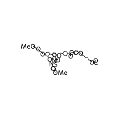 C=CC(=O)OCCCCCCOc1ccc(OC(=O)C2CCC(COc3ccc(C4CCC(OCCOCCOC)CC4)c4c3C(=O)N(c3nc5ccc(OC)cc5s3)C4=O)CC2)cc1